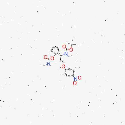 CN(C)C(=O)Oc1ccccc1C(CCOc1ccc([N+](=O)[O-])cc1)N(C)C(=O)OC(C)(C)C